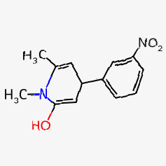 CC1=CC(c2cccc([N+](=O)[O-])c2)C=C(O)N1C